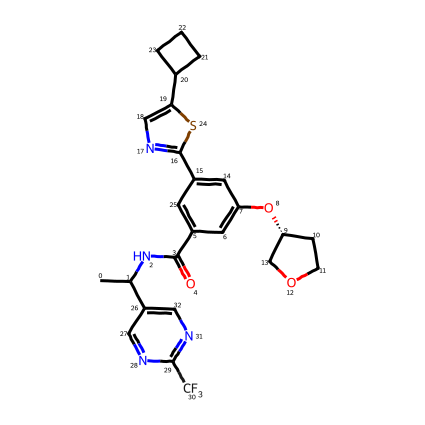 CC(NC(=O)c1cc(O[C@@H]2CCOC2)cc(-c2ncc(C3CCC3)s2)c1)c1cnc(C(F)(F)F)nc1